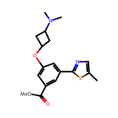 COC(=O)c1cc(OC2CC(N(C)C)C2)cc(-c2ncc(C)s2)c1